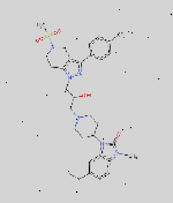 Cn1c(=O)n(C2CCN(C[C@H](O)Cn3nc(-c4ccc(C(F)(F)F)cc4)c4c3CCN(S(C)(=O)=O)C4)CC2)c2cc(CI)ccc21